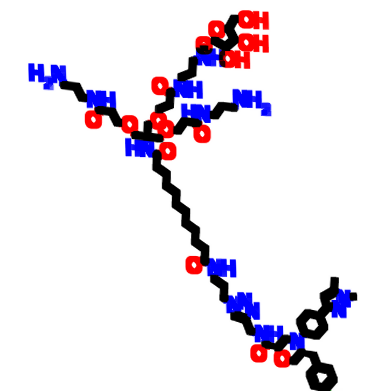 Cc1cc(C2CCC(N3C[C@H](C(=O)NCc4cn(CCCNC(=O)CCCCCCCCCCC(=O)NC(COCCC(=O)NCCCN)(COCCC(=O)NCCCN)COCCC(=O)NCCCNO[C@H]5OC(CO)[C@H](O)C5O)nn4)OC[C@@H]3Cc3ccc(Cl)cc3)CC2)nn1C